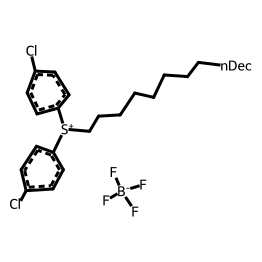 CCCCCCCCCCCCCCCCCC[S+](c1ccc(Cl)cc1)c1ccc(Cl)cc1.F[B-](F)(F)F